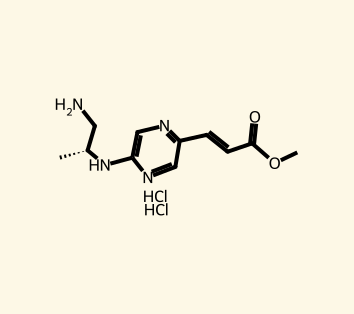 COC(=O)/C=C/c1cnc(N[C@H](C)CN)cn1.Cl.Cl